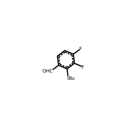 CC(C)(C)c1c(C=O)ccc(F)c1F